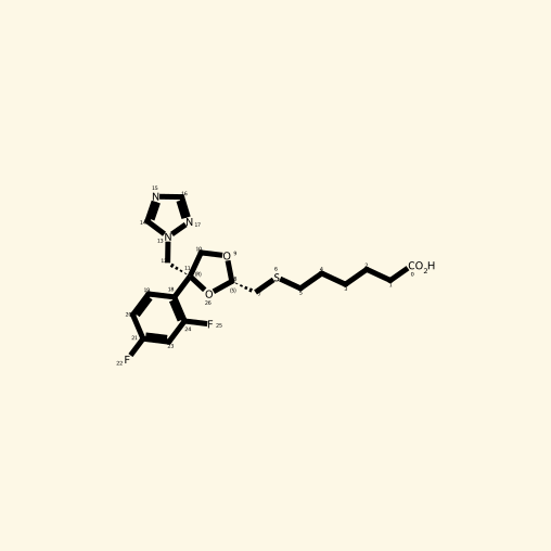 O=C(O)CCCCCSC[C@H]1OC[C@](Cn2cncn2)(c2ccc(F)cc2F)O1